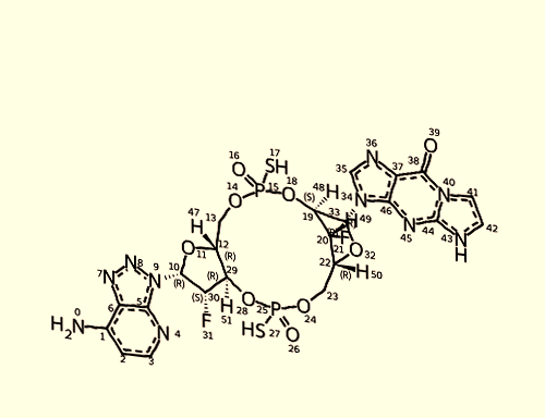 Nc1ccnc2c1nnn2[C@@H]1O[C@@H]2COP(=O)(S)O[C@@H]3[C@H](F)[C@@H](COP(=O)(S)O[C@H]2[C@@H]1F)O[C@H]3n1cnc2c(=O)n3cc[nH]c3nc21